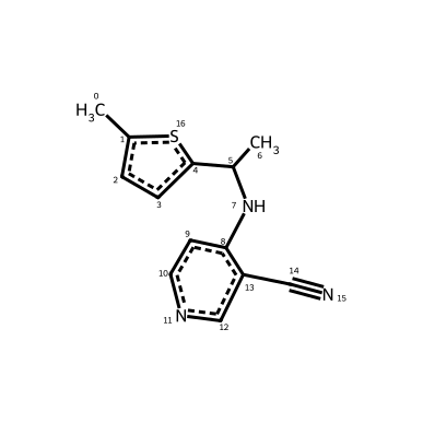 Cc1ccc(C(C)Nc2ccncc2C#N)s1